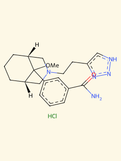 COC1(c2cccc(C(N)=O)c2)[C@@H]2CCC[C@H]1CN(CCc1c[nH]nn1)C2.Cl